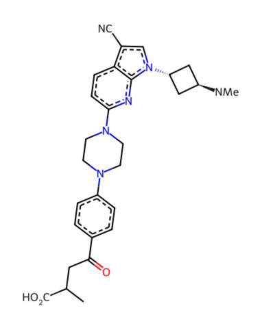 CN[C@H]1C[C@H](n2cc(C#N)c3ccc(N4CCN(c5ccc(C(=O)CC(C)C(=O)O)cc5)CC4)nc32)C1